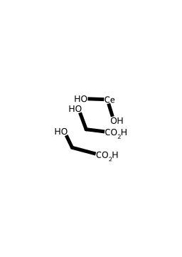 O=C(O)CO.O=C(O)CO.[OH][Ce][OH]